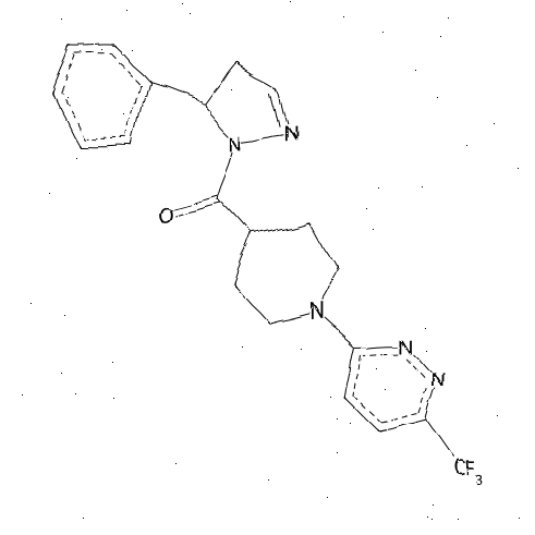 O=C(C1CCN(c2ccc(C(F)(F)F)nn2)CC1)N1N=CCC1c1ccccc1